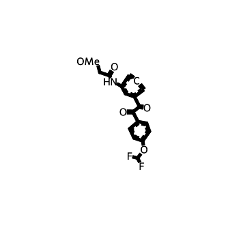 COCC(=O)Nc1cccc(C(=O)C(=O)c2ccc(OC(F)F)cc2)c1